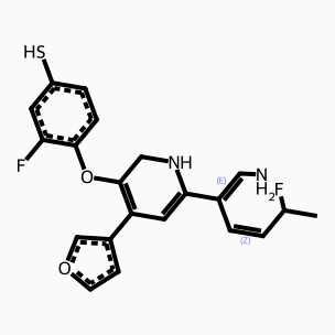 CC(F)/C=C\C(=C/N)C1=CC(c2ccoc2)=C(Oc2ccc(S)cc2F)CN1